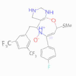 CSC1/C=C(/c2ccc(F)cc2)[NH+]([O-])C(Cc2cc(C(F)(F)F)cc(C(F)(F)F)c2)C2=C(NCNC2)O1